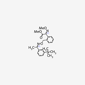 CO/N=C(\C(=O)OC)c1ccccc1CO/N=C(/C)c1cccc([Si](C)(C)C)c1